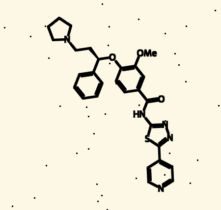 COc1cc(C(=O)Nc2nnc(-c3ccncc3)s2)ccc1O[C@H](CCN1CCCC1)c1ccccc1